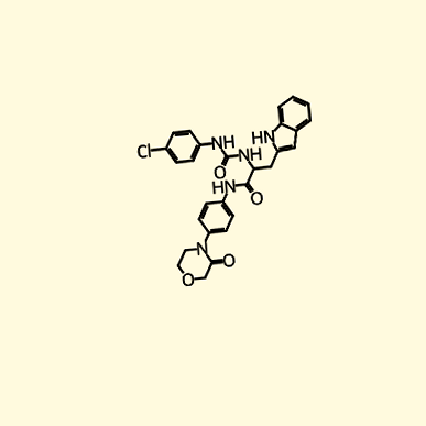 O=C(Nc1ccc(Cl)cc1)NC(Cc1cc2ccccc2[nH]1)C(=O)Nc1ccc(N2CCOCC2=O)cc1